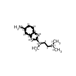 CN(C)CCN(C)c1nc2ccc(N)cc2s1